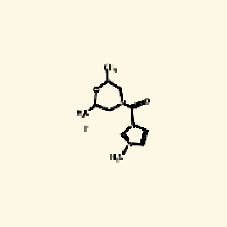 CC1CN(C(=O)n2cc[n+](C)c2)CC(C)O1.[I-]